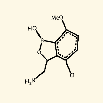 COc1ccc(Cl)c2c1B(O)OC2CN